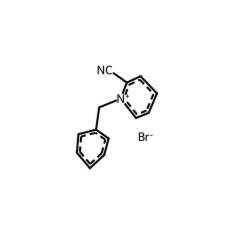 N#Cc1cccc[n+]1Cc1ccccc1.[Br-]